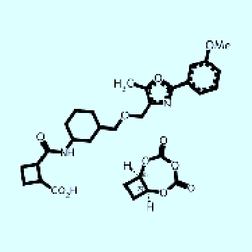 COc1cccc(-c2nc(COCC3CCCC(NC(=O)C4CCC4C(=O)O)C3)c(C)o2)c1.O=C1OC(=O)O[C@@H]2CC[C@@H]2O1